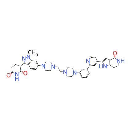 Cn1nc(C2CCC(=O)NC2=O)c2ccc(N3CCN(CCN4CCN(c5cccc(-c6cc(-c7cc8c([nH]7)CCNC8=O)ccn6)c5)CC4)CC3)cc21